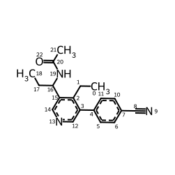 CCc1c(-c2ccc(C#N)cc2)cncc1C(CC)NC(C)=O